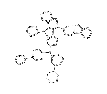 C1=CCC(c2cccc(N(c3ccc(-c4ccccc4)cc3)c3ccc4c5c(-c6ccc7c(c6)oc6ccccc67)cc6ccccc6c5n(-c5ccccc5)c4c3)c2)C=C1